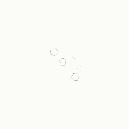 COc1ccccc1Oc1cccc(CN2CC[C@H](NS(=O)(=O)c3ccccc3)C2)c1